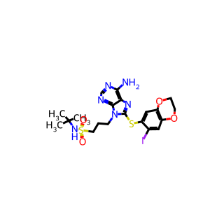 CC(C)(C)NS(=O)(=O)CCCn1c(Sc2cc3c(cc2I)OCCO3)nc2c(N)ncnc21